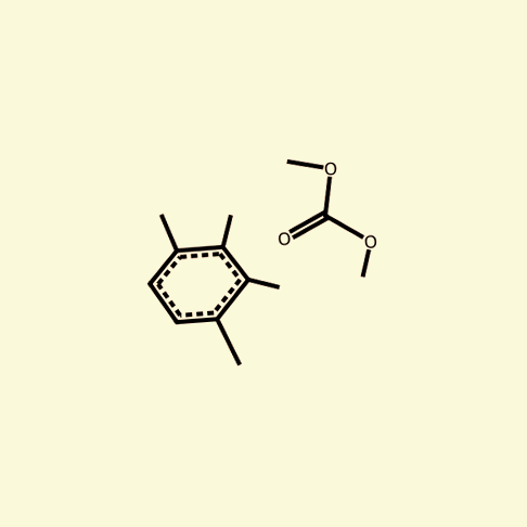 COC(=O)OC.Cc1ccc(C)c(C)c1C